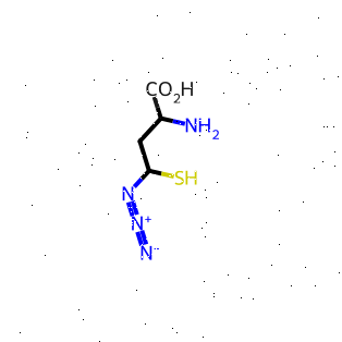 [N-]=[N+]=NC(S)CC(N)C(=O)O